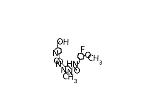 COc1cc(CNC(=O)c2cc(C3=NOC(c4ccc(CO)cn4)C3)nc(C)n2)ccc1F